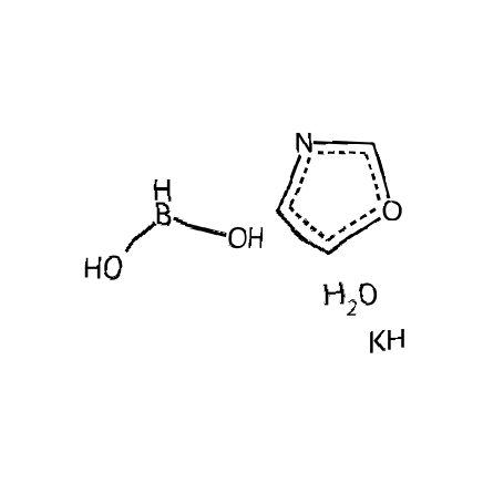 O.OBO.[KH].c1cocn1